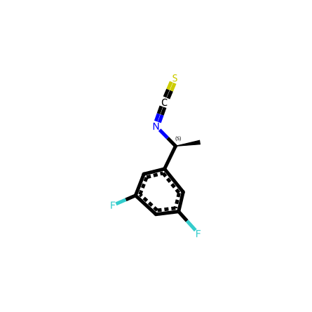 C[C@H](N=C=S)c1cc(F)cc(F)c1